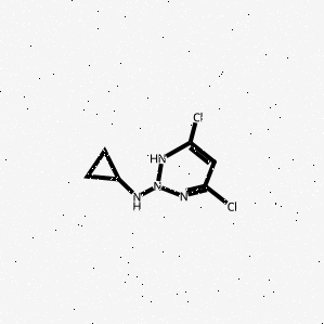 ClC1=CC(Cl)=NN(NC2CC2)N1